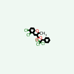 CC(=O)C(=Cc1cccc(Cl)c1Cl)C(=O)OC(c1ccccc1)C(Cl)(Cl)Cl